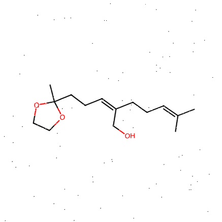 CC(C)=CCC/C(=C/CCC1(C)OCCO1)CO